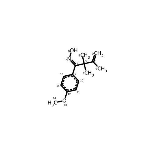 C=C(C)C(C)(C)C(=NO)c1ccc(OC)cc1